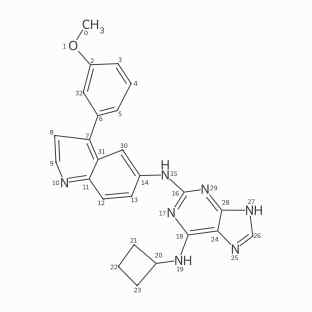 COc1cccc(-c2ccnc3ccc(Nc4nc(NC5CCC5)c5nc[nH]c5n4)cc23)c1